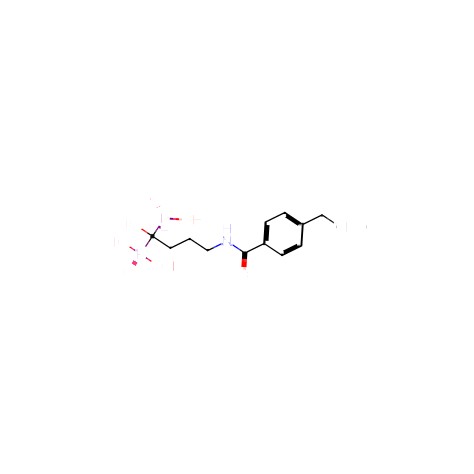 O=[14CH]Cc1ccc(C(=O)NCCCC(O)([PH](=O)O)P(=O)(O)O)cc1